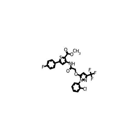 COC(=O)c1sc(-c2ccc(F)cc2)cc1NC(=O)COc1cc(C(F)(F)F)nn1-c1ccccc1Cl